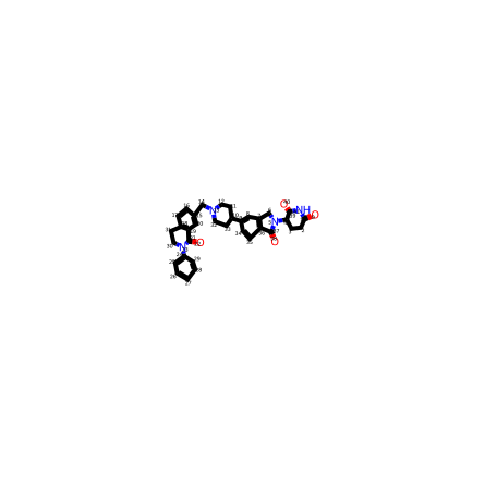 O=C1CCC(N2Cc3cc(C4CCN(Cc5ccc6c(c5)C(=O)N(c5ccccc5)CC6)CC4)ccc3C2=O)C(=O)N1